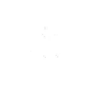 Cn1cc(Br)c2ncncc2c1=O